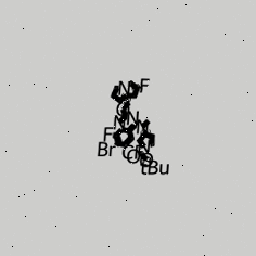 CN(c1nc(OC[C@@]23CCCN2C[C@H](F)C3)nc2c(F)c(Br)c(C(F)(F)F)cc12)[C@@H]1CCN(C(=O)OC(C)(C)C)C1